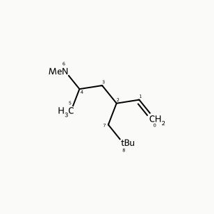 C=CC(CC(C)NC)CC(C)(C)C